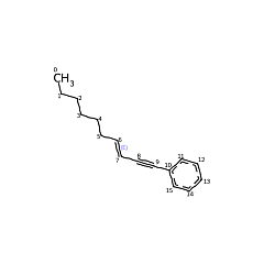 CCCCCC/C=C/C#Cc1ccccc1